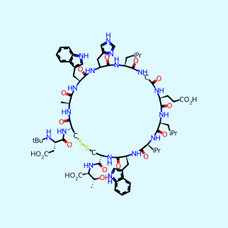 CC(C)C[C@@H]1NC(=O)C(Cc2c[nH]cn2)NC(=O)[C@H](Cc2c[nH]c3ccccc23)NC(=O)[C@H](C)NC(=O)[C@@H](NC(=O)[C@H](CC(=O)O)NC(C)(C)C)CSSC[C@@H](C(=O)N[C@H](C(=O)O)[C@@H](C)O)NC(=O)[C@H](Cc2c[nH]c3ccccc23)NC(=O)[C@H](C(C)C)NC(=O)[C@H](CC(C)C)NC(=O)[C@H](CCC(=O)O)NC(=O)CNC1=O